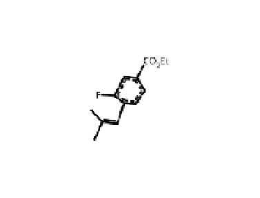 CCOC(=O)c1ccc(C=C(C)C)c(F)c1